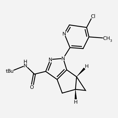 Cc1cc(-n2nc(C(=O)NC(C)(C)C)c3c2[C@@H]2C[C@@H]2C3)ncc1Cl